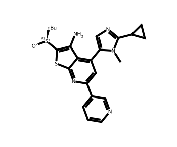 CCCC[S@+]([O-])c1sc2nc(-c3cccnc3)cc(-c3cnc(C4CC4)n3C)c2c1N